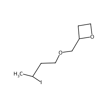 CC(I)CCOCC1CCO1